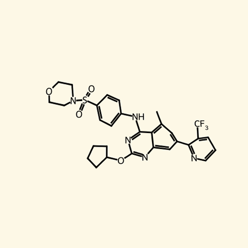 Cc1cc(-c2ncccc2C(F)(F)F)cc2nc(OC3CCCC3)nc(Nc3ccc(S(=O)(=O)N4CCOCC4)cc3)c12